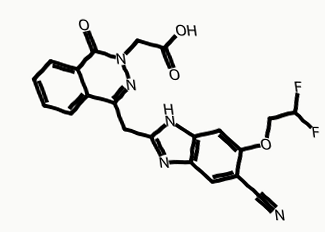 N#Cc1cc2nc(Cc3nn(CC(=O)O)c(=O)c4ccccc34)[nH]c2cc1OCC(F)F